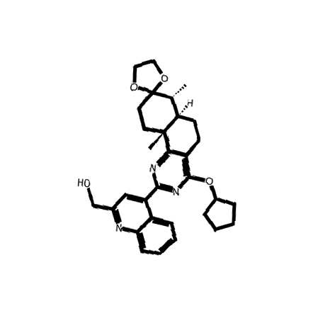 C[C@@H]1[C@H]2CCc3c(OC4CCCC4)nc(-c4cc(CO)nc5ccccc45)nc3[C@]2(C)CCC12OCCO2